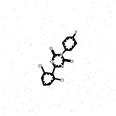 O=c1nc(-c2c(Cl)cccc2Cl)oc(=O)n1-c1ccc(F)cc1